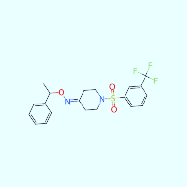 CC(ON=C1CCN(S(=O)(=O)c2cccc(C(F)(F)F)c2)CC1)c1ccccc1